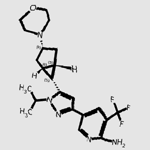 CC(C)n1nc(-c2cnc(N)c(C(F)(F)F)c2)cc1[C@@H]1[C@@H]2C[C@H](N3CCOCC3)C[C@@H]21